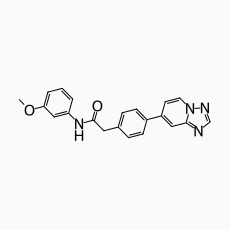 COc1cccc(NC(=O)Cc2ccc(-c3ccn4ncnc4c3)cc2)c1